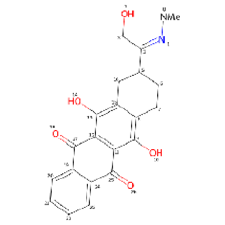 CN/N=C(\CO)C1CCc2c(O)c3c(c(O)c2C1)C(=O)c1ccccc1C3=O